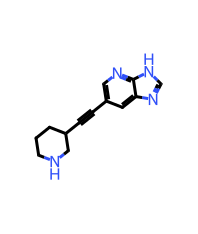 C(#CC1CCCNC1)c1cnc2[nH]cnc2c1